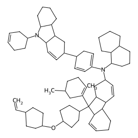 C=CC1CCC(OC2CCC(C3(C4=C(C)CCC(C)C4)C4C=CCCC4C4C=CC(N(C5=CCC(C6C=CC7C(C6)C6CCCCC6N7C6CC=CCC6)C=C5)C5CCCC6CCCCC65)CC43)CC2)CC1